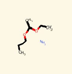 CCCOC(C)OCC.N